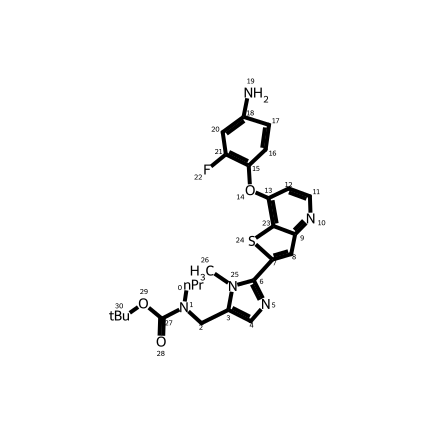 CCCN(Cc1cnc(-c2cc3nccc(Oc4ccc(N)cc4F)c3s2)n1C)C(=O)OC(C)(C)C